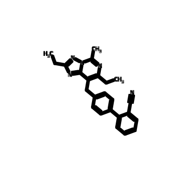 CCc1nc2c(Cc3ccc(-c4ccccc4C#N)cc3)c(CC)nc(C)n2n1